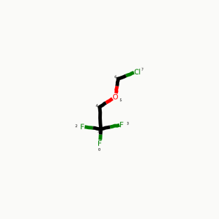 FC(F)(F)COCCl